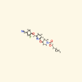 CCCCOC(=O)N1CCC(Oc2cccc(COc3ccc(C#N)cc3F)n2)CC1